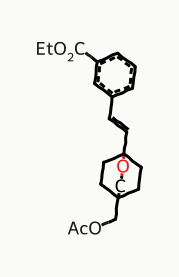 CCOC(=O)c1cccc(/C=C/C23CCC(COC(C)=O)(CC2)CO3)c1